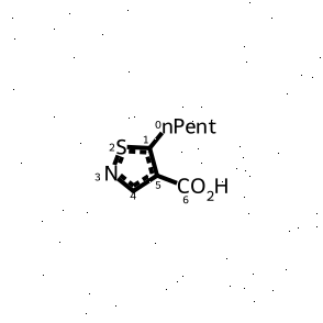 CCCCCc1sncc1C(=O)O